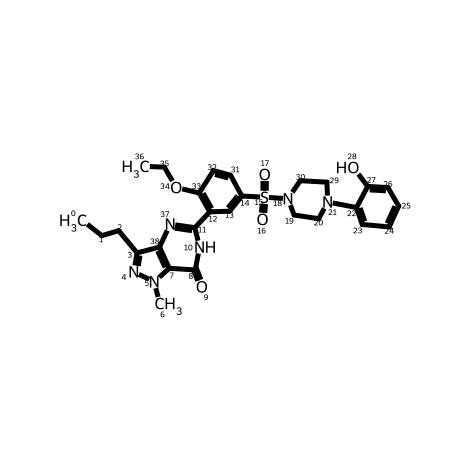 CCCc1nn(C)c2c(=O)[nH]c(-c3cc(S(=O)(=O)N4CCN(c5ccccc5O)CC4)ccc3OCC)nc12